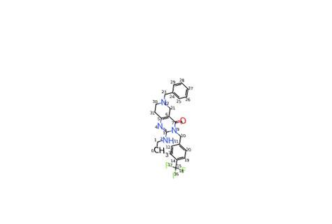 CCNc1nc2c(c(=O)n1Cc1ccc(C(F)(F)F)cc1)CN(Cc1ccccc1)CC2